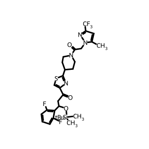 Cc1cc(C(F)(F)F)nn1CC(=O)N1CCC(c2nc(C(=O)CC(O[Si](C)(C)C(C)(C)C)c3c(F)cccc3F)cs2)CC1